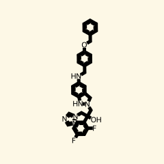 OC(CN1Cc2cc(NCc3ccc(OCc4ccccc4)cc3)ccc2N1)(Cn1cncn1)c1ccc(F)cc1F